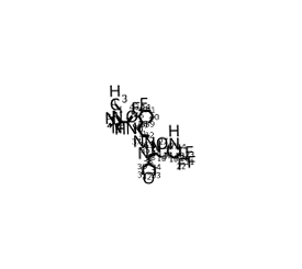 CCn1ncnc1C(=O)N[C@H](c1cn2nc(C[C@H]3C[C@@H](C(F)(F)F)CNC3=O)c(C3CCOCC3)nc2n1)[C@H]1CCCC(F)(F)C1